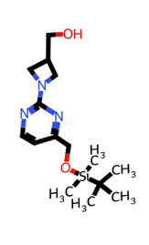 CC(C)(C)[Si](C)(C)OCc1ccnc(N2CC(CO)C2)n1